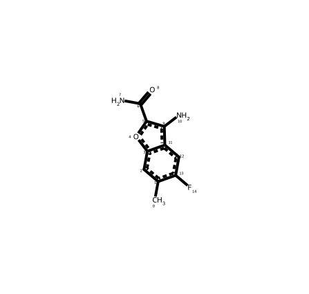 Cc1cc2oc(C(N)=O)c(N)c2cc1F